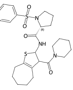 O=C(NC1SC2=C(CCCCC2)C1C(=O)N1CCCCC1)[C@H]1CCCN1S(=O)(=O)c1ccccc1